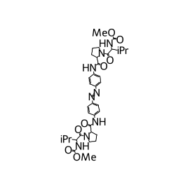 COC(=O)NC(C(=O)N1CCCC1C(=O)Nc1ccc(N=Nc2ccc(NC(=O)C3CCCN3C(=O)C(NC(=O)OC)C(C)C)cc2)cc1)C(C)C